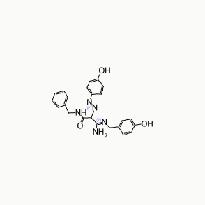 N/C(=N\Cc1ccc(O)cc1)C(/N=N/c1ccc(O)cc1)C(=O)NCc1ccccc1